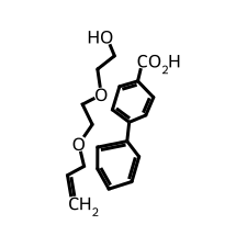 C=CCOCCOCCO.O=C(O)c1ccc(-c2ccccc2)cc1